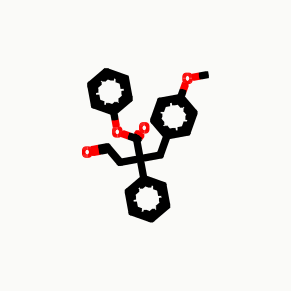 COc1ccc(CC(CC=O)(C(=O)Oc2ccccc2)c2ccccc2)cc1